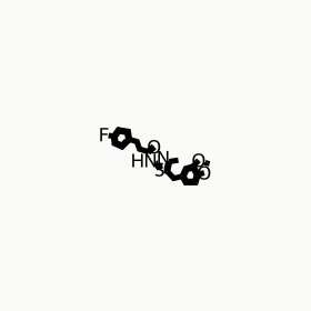 Cc1nc(NC(=O)CCc2ccc(F)cc2)sc1Cc1ccc2c(c1)OCO2